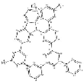 N#Cc1cc(C#N)cc(-c2ccc3c4ccccc4n(-c4cc(-c5nc(-c6ccccc6)nc(-c6ccccc6)n5)ccc4-c4cc(C(F)(F)F)cc(C(F)(F)F)c4)c3c2)c1